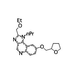 CCCn1c(COCC)nc2cnc3ccc(OCC4CCCO4)cc3c21